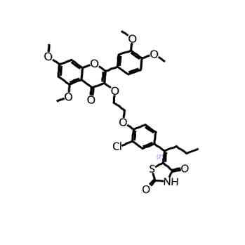 CCC/C(=C1/SC(=O)NC1=O)c1ccc(OCCOc2c(-c3ccc(OC)c(OC)c3)oc3cc(OC)cc(OC)c3c2=O)c(Cl)c1